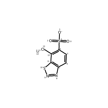 O=S(=O)([O-])c1ccc2nnsc2c1Cl.[Li+]